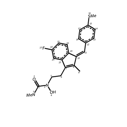 CNC(=O)N(O)CCC1=C(C)/C(=C/c2ccc(SC)cc2)c2ccc(F)cc21